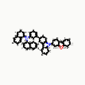 c1cc(-c2ccc3c(c2)c2ccccc2n3-c2ccc3c(c2)oc2ccccc23)cc(N(c2cccc3ccccc23)c2cccc3ccccc23)c1